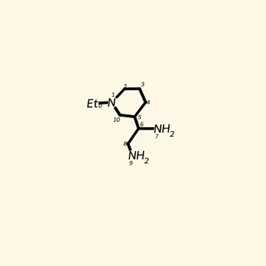 CCN1CCCC(C(N)CN)C1